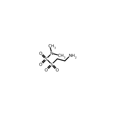 CN(C)S(=O)(=O)S(=O)(=O)CCN